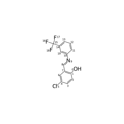 Oc1ccc(Cl)cc1/C=N/c1cccc(C(F)(F)F)c1